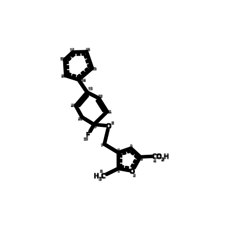 Cc1oc(C(=O)O)cc1COC1(F)C=CC(c2ccccc2)=CC1